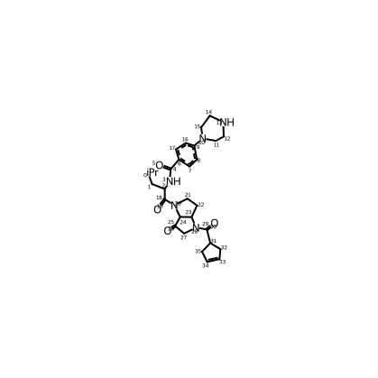 CC(C)CC(NC(=O)c1ccc(N2CCNCC2)cc1)C(=O)N1CCC2C1C(=O)CN2C(=O)C1CC=CC1